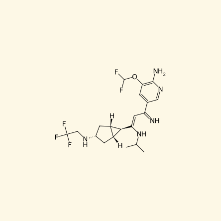 CC(C)N/C(=C\C(=N)c1cnc(N)c(OC(F)F)c1)[C@H]1[C@@H]2C[C@H](NCC(F)(F)F)C[C@@H]21